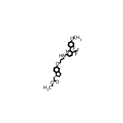 CCOC(=O)C[C@@H]1CCc2cc(OCCCNc3ccc(C(F)(F)F)c(-c4ccc(OC)cc4)n3)ccc21